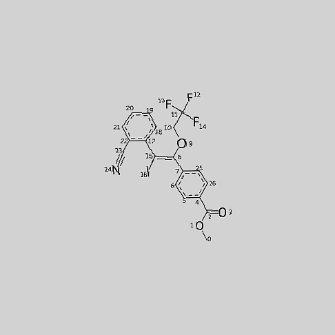 COC(=O)c1ccc(/C(OCC(F)(F)F)=C(\I)c2ccccc2C#N)cc1